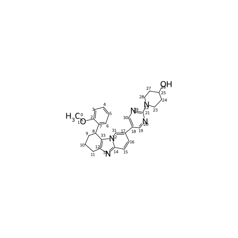 COc1ccccc1C1CCCc2nc3ccc(-c4cnc(N5CCC(O)CC5)nc4)cn3c21